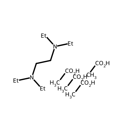 CC(=O)O.CC(=O)O.CC(=O)O.CC(=O)O.CCN(CC)CCN(CC)CC